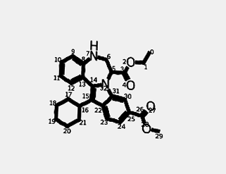 CCOC(=O)C1CNc2ccccc2-c2c(C3CCCCC3)c3ccc(C(=O)OC)cc3n21